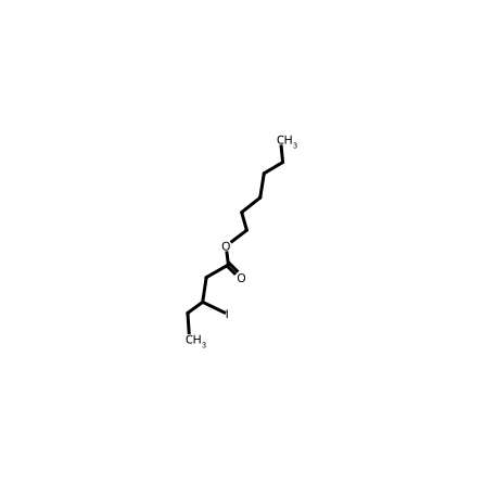 CCCCCCOC(=O)CC(I)CC